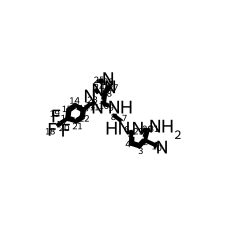 N#Cc1ccc(NCCNc2nc(-c3ccc(C(F)(F)F)cc3)nn3cnnc23)nc1N